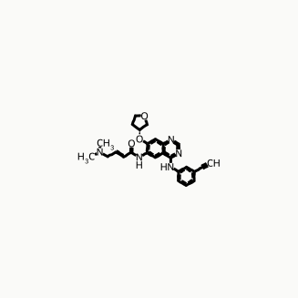 C#Cc1cccc(Nc2ncnc3cc(O[C@@H]4CCOC4)c(NC(=O)C=CCN(C)C)cc23)c1